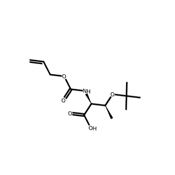 C=CCOC(=O)N[C@H](C(=O)O)[C@H](C)OC(C)(C)C